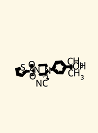 CC(C)(O)c1ccc(N2CCN(S(=O)(=O)c3cccs3)C[C@H]2CC#N)cc1